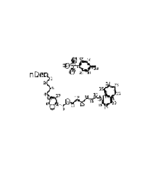 CCCCCCCCCCCCCC[C@@H]1CO[C@@H](COCCCCCC[n+]2cccc3ccccc32)C1.Cc1ccc(S(=O)(=O)[O-])cc1